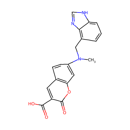 CN(Cc1cccc2[nH]cnc12)c1ccc2cc(C(=O)O)c(=O)oc2c1